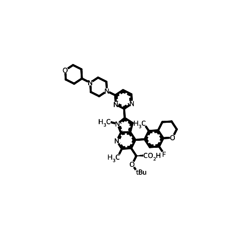 Cc1nc2c(cc(-c3nccc(N4CCN(C5CCOCC5)CC4)n3)n2C)c(-c2cc(F)c3c(c2C)CCCO3)c1[C@H](OC(C)(C)C)C(=O)O